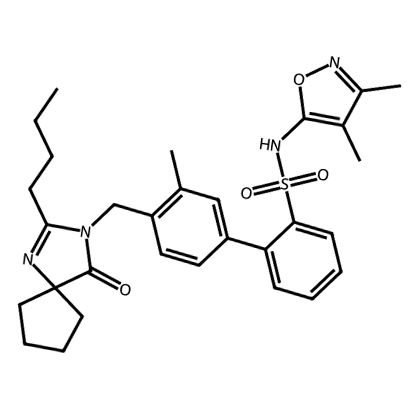 CCCCC1=NC2(CCCC2)C(=O)N1Cc1ccc(-c2ccccc2S(=O)(=O)Nc2onc(C)c2C)cc1C